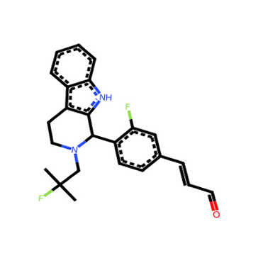 CC(C)(F)CN1CCc2c([nH]c3ccccc23)C1c1ccc(/C=C/C=O)cc1F